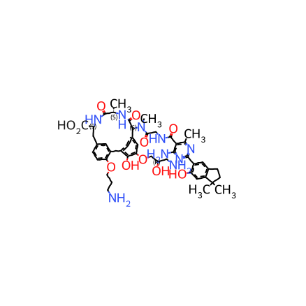 Cc1nc(-c2cc3c(cc2O)C(C)(C)CC3)nc(N)c1C(=O)NCC(=O)N(C)[C@@H]1C(=O)N[C@@H](C)C(=O)N[C@H](C(=O)O)Cc2ccc(OCCCN)c(c2)-c2cc1cc(OC[C@H](O)CN)c2O